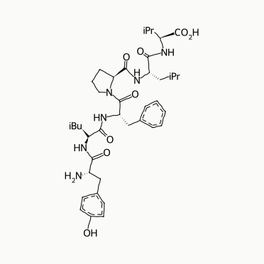 CC[C@H](C)[C@H](NC(=O)[C@@H](N)Cc1ccc(O)cc1)C(=O)N[C@@H](Cc1ccccc1)C(=O)N1CCC[C@H]1C(=O)N[C@@H](CC(C)C)C(=O)N[C@H](C(=O)O)C(C)C